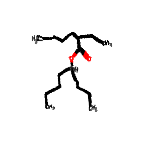 CCCCC(CC)C(=O)[O][SnH]([CH2]CCC)[CH2]CCC